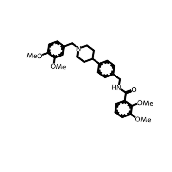 COc1ccc(CN2CCC(c3ccc(CNC(=O)c4cccc(OC)c4OC)cc3)CC2)cc1OC